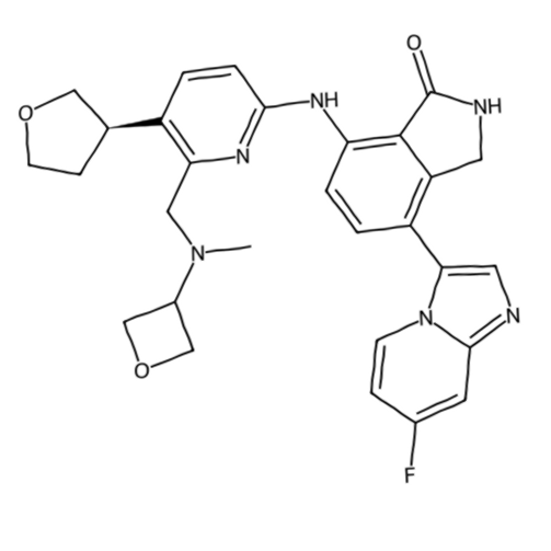 CN(Cc1nc(Nc2ccc(-c3cnc4cc(F)ccn34)c3c2C(=O)NC3)ccc1[C@H]1CCOC1)C1COC1